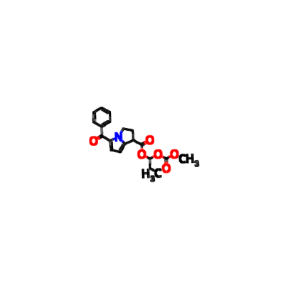 CCC(OC(=O)OC)OC(=O)C1CCn2c(C(=O)c3ccccc3)ccc21